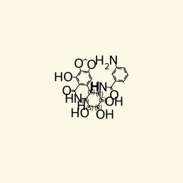 Nc1cccc(C(=O)N[C@H]2[C@H](O)[C@@H](O)[C@@H](O)[C@@H]3NC(=O)c4c(cc5c(c4O)OCO5)[C@@H]23)c1